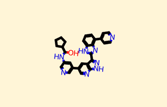 OC(Nc1cncc(-c2cnc3[nH]nc(-c4nc5c(-c6ccncc6)cccc5[nH]4)c3c2)c1)C1CCCC1